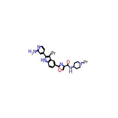 CC(C)c1c(-c2ccnc(N)c2)[nH]c2ccc(-c3nc(C(=O)NC4CCN(C(C)C)CC4)co3)cc12